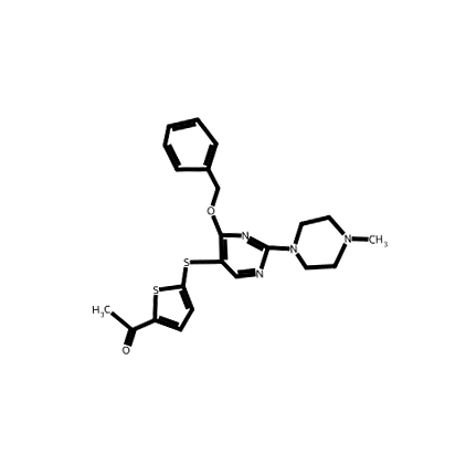 CC(=O)c1ccc(Sc2cnc(N3CCN(C)CC3)nc2OCc2ccccc2)s1